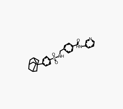 O=C(Nc1cccnc1)c1ccc(CNS(=O)(=O)c2ccc(C34CC5CC(CC(C5)C3)C4)cc2)cc1